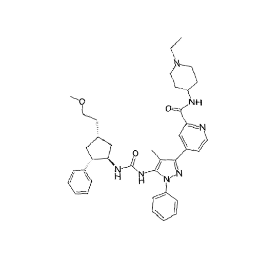 CCN1CCC(NC(=O)c2cc(-c3nn(-c4ccccc4)c(NC(=O)N[C@@H]4C[C@@H](CCOC)C[C@H]4c4ccccc4)c3C)ccn2)CC1